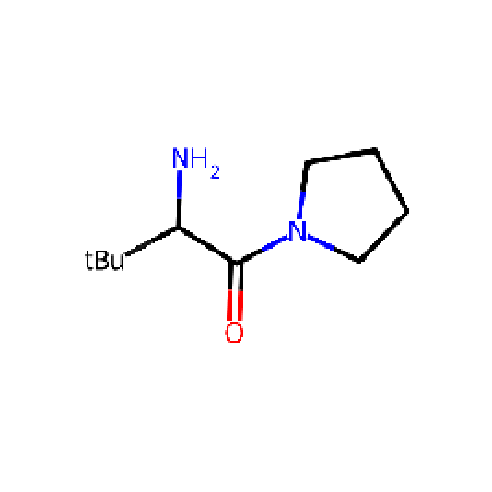 CC(C)(C)C(N)C(=O)N1CCCC1